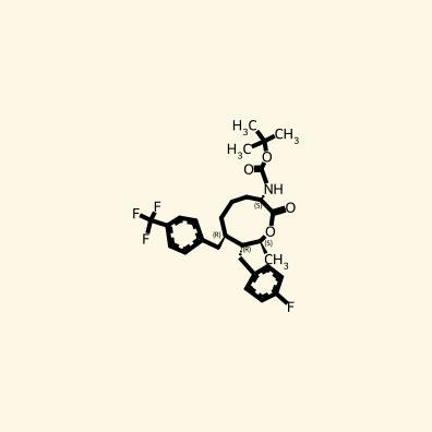 C[C@@H]1OC(=O)[C@@H](NC(=O)OC(C)(C)C)CCC[C@H](Cc2ccc(C(F)(F)F)cc2)[C@H]1Cc1ccc(F)cc1